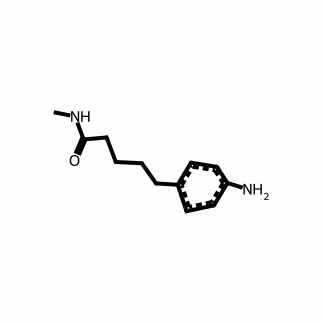 CNC(=O)CCCCc1ccc(N)cc1